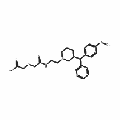 COc1ccc(C(c2ccccc2)C2CCCN(CCNC(=O)COCC(=O)O)C2)cc1